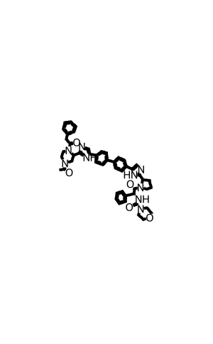 CC(=O)N1CCN(C(=O)Cc2ccccc2)C(c2ncc(-c3ccc(-c4ccc(-c5cnc(C6CCCN6C(=O)[C@H](NC(=O)N6CCOCC6)c6ccccc6)[nH]5)cc4)cc3)[nH]2)C1